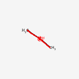 CCCCCCCCCCCCCCCCCCCCCCCC(C(=O)O)=C(CCCCCCCCCCCCCCCCCCCCCCC)C(=O)O